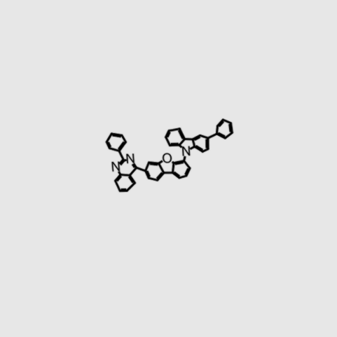 c1ccc(-c2ccc3c(c2)c2ccccc2n3-c2cccc3c2oc2cc(-c4nc(-c5ccccc5)nc5ccccc45)ccc23)cc1